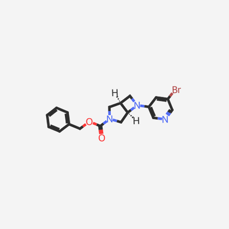 O=C(OCc1ccccc1)N1C[C@H]2CN(c3cncc(Br)c3)[C@H]2C1